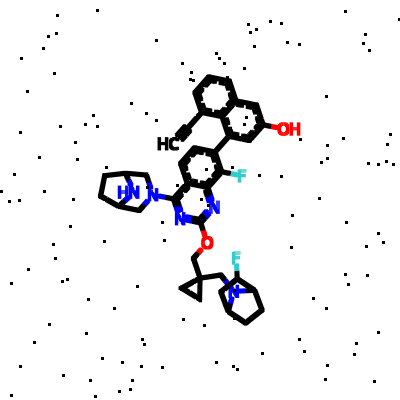 C#Cc1cccc2cc(O)cc(-c3ccc4c(N5CC6CCC(C5)N6)nc(OCC5(CN6C7CCC6C(F)C7)CC5)nc4c3F)c12